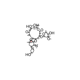 CC[C@H]1OC(=O)[C@H](C)[C@@H](O[C@H]2C[C@@](C)(OC)[C@@H](O)[C@H](C)O2)[C@H](C)[C@@H](O[C@@H]2O[C@H](C)C[C@@H](N3CC[C@H](O)C3)[C@@H]2N(C)C)[C@@](C)(OC)C[C@@H](C)C(=O)[C@H](C)[C@@H](O)[C@]1(C)O